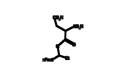 CCCCCC(CC)OC(=O)C(CC(=O)O)S(=O)(=O)O